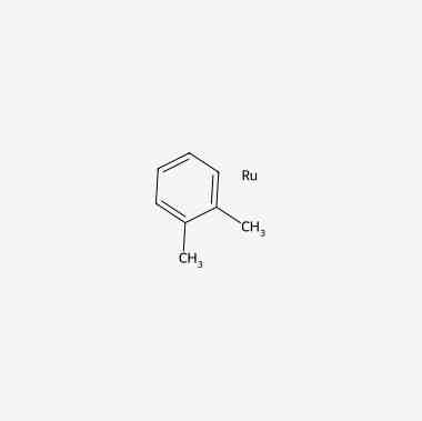 Cc1ccccc1C.[Ru]